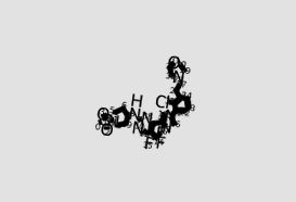 CS(=O)(=O)N1CCC(Nc2ncc(C(F)(F)F)c(-c3cn(-c4cccc(CCN5CCOCC5)c4Cl)cn3)n2)CC1